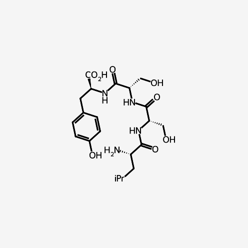 CC(C)C[C@H](N)C(=O)N[C@@H](CO)C(=O)N[C@@H](CO)C(=O)N[C@@H](Cc1ccc(O)cc1)C(=O)O